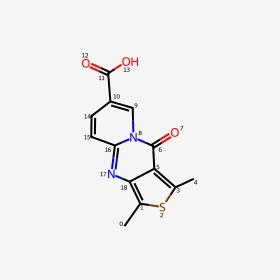 Cc1sc(C)c2c(=O)n3cc(C(=O)O)ccc3nc12